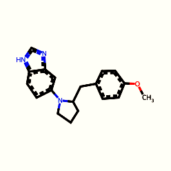 COc1ccc(CC2CCCN2c2ccc3[nH]cnc3c2)cc1